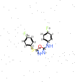 Fc1ccc(Nc2nnc(Sc3ccc(F)cc3)o2)cc1